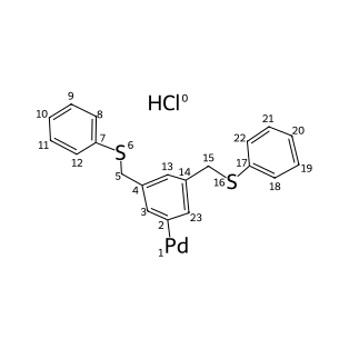 Cl.[Pd][c]1cc(CSc2ccccc2)cc(CSc2ccccc2)c1